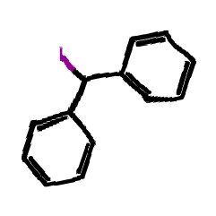 I[C](c1ccccc1)c1ccccc1